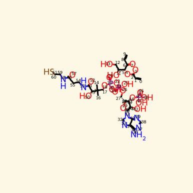 C=CC(=O)OC(C(=O)C=C)C(O)CO.CC(C)(COP(=O)(O)OP(=O)(O)OC[C@H]1O[C@@H](n2cnc3c(N)ncnc32)[C@H](O)[C@@H]1OP(=O)(O)O)C(O)C(=O)NCCC(=O)NCCS